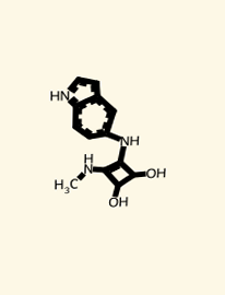 CNC1=C(Nc2ccc3[nH]ccc3c2)C(O)C1O